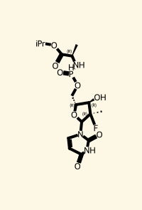 CC(C)OC(=O)[C@@H](C)N[PH](=O)OC[C@H]1OC(n2ccc(=O)[nH]c2=O)[C@](C)(F)[C@@H]1O